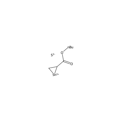 CCCCOC(=O)[CH]1[CH2][Sn+2]1.[S-2]